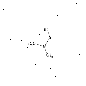 CCSN(C)C